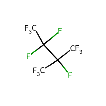 FC(F)(F)C(F)(F)C(F)(C(F)(F)F)C(F)(F)F